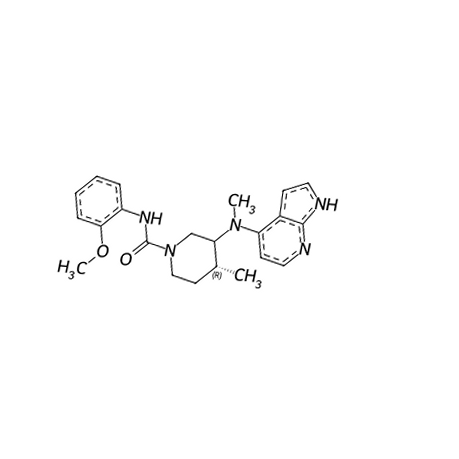 COc1ccccc1NC(=O)N1CC[C@@H](C)C(N(C)c2ccnc3[nH]ccc23)C1